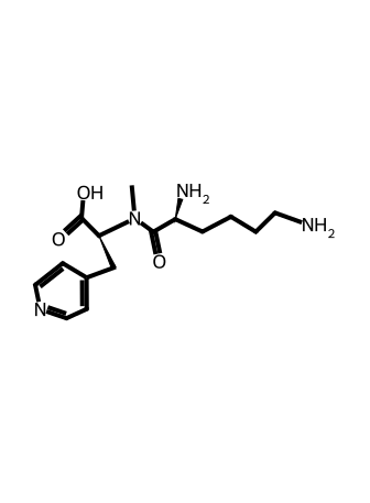 CN(C(=O)[C@@H](N)CCCCN)[C@@H](Cc1ccncc1)C(=O)O